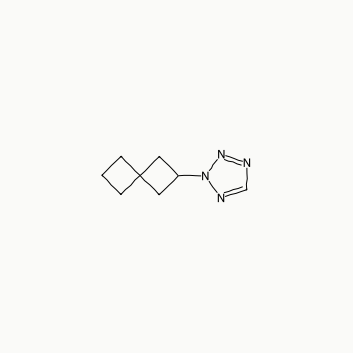 c1nnn(C2CC3(CCC3)C2)n1